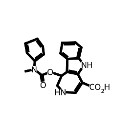 CN(C(=O)OC1CNC=C(C(=O)O)c2[nH]c3ccccc3c21)c1ccccc1